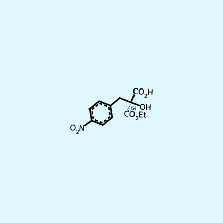 CCOC(=O)[C@](O)(Cc1ccc([N+](=O)[O-])cc1)C(=O)O